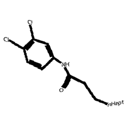 CCCCCCCCCC(=O)Nc1ccc(Cl)c(Cl)c1